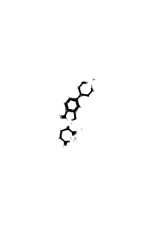 CN1CCC(c2ccc3c(c2)CN(C2CCC(=O)NC2=O)C3=O)CC1